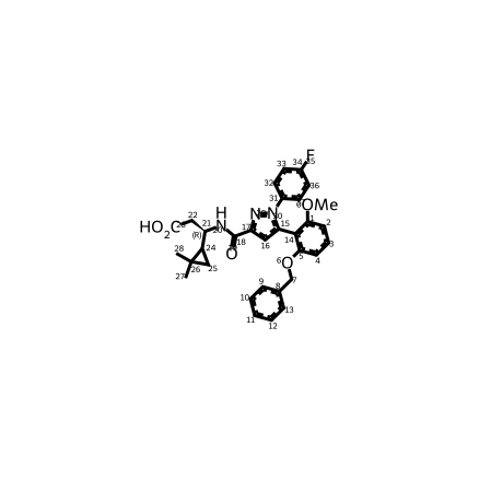 COc1cccc(OCc2ccccc2)c1-c1cc(C(=O)N[C@H](CC(=O)O)C2CC2(C)C)nn1-c1ccc(F)cc1